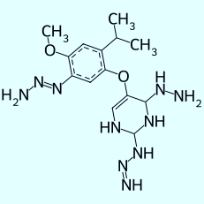 COc1cc(C(C)C)c(OC2=CNC(NN=N)NC2NN)cc1N=NN